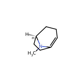 CN1C2=CCC[C@@H]1CC2